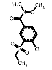 CCS(=O)(=O)c1cc(C(=O)N(C)OC)ccc1Cl